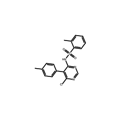 Cc1ccc(-c2c(Cl)ncnc2NS(=O)(=O)c2ccccc2C)cc1